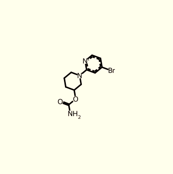 NC(=O)OC1CCCN(c2cc(Br)ccn2)C1